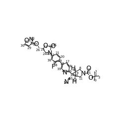 CC(C)(C)OC(=O)N1C[C@@H]2[C@H](C1)[C@@]2(C#N)c1ccc(-c2ccc(N3C[C@H](COc4ccon4)OC3=O)cc2F)cn1